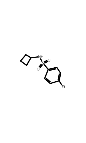 CCc1ccc(S(=O)(=O)NC2CCC2)cc1